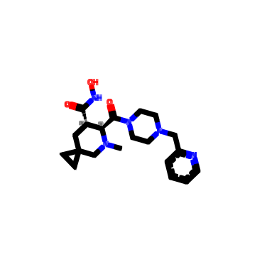 CN1CC2(CC2)C[C@H](C(=O)NO)[C@H]1C(=O)N1CCN(Cc2ccccn2)CC1